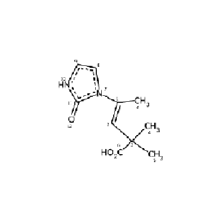 CC(=CC(C)(C)C(=O)O)n1cc[nH]c1=O